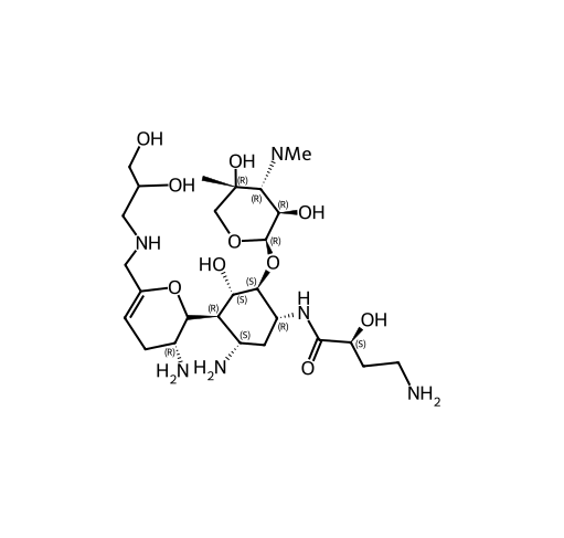 CN[C@@H]1[C@@H](O)[C@@H](O[C@@H]2[C@@H](O)[C@H](C3OC(CNCC(O)CO)=CC[C@H]3N)[C@@H](N)C[C@H]2NC(=O)[C@@H](O)CCN)OC[C@]1(C)O